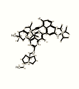 CC(C)[Si](C#Cc1c(F)ccc2cc(O[Si](C(C)C)(C(C)C)C(C)C)cc(-c3ncc4c(N5CCC[C@@](C)(O)C5)nc(OC[C@@]56CCCN5[C@H](CO)CC6)nc4c3F)c12)(C(C)C)C(C)C